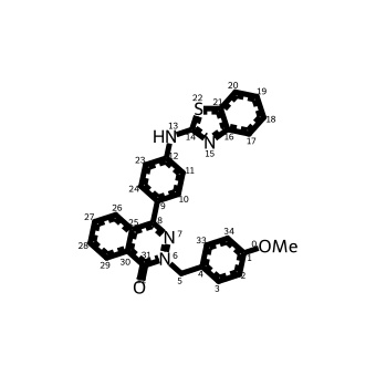 COc1ccc(Cn2nc(-c3ccc(Nc4nc5ccccc5s4)cc3)c3ccccc3c2=O)cc1